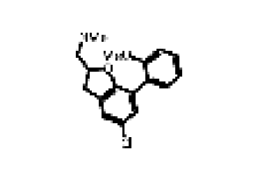 CNCC1Cc2cc(Cl)cc(-c3ccccc3OC)c2O1